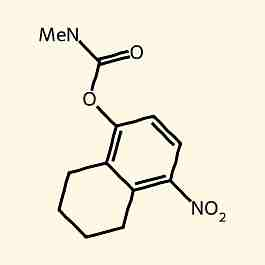 CNC(=O)Oc1ccc([N+](=O)[O-])c2c1CCCC2